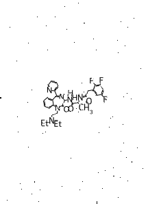 CCN(CC)CCN1C(=O)C(NC(=O)[C@H](C)NC(=O)Cc2cc(F)cc(F)c2F)N=C(c2ccccn2)c2ccccc21